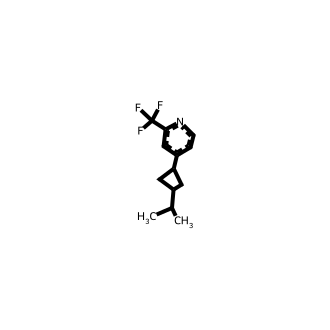 CC(C)C1CC(c2ccnc(C(F)(F)F)c2)C1